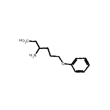 NC(CCCOc1ccccc1)CC(=O)O